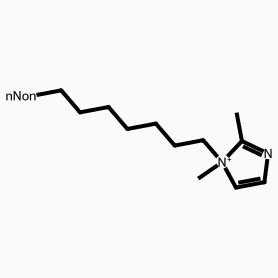 CCCCCCCCCCCCCCCC[N+]1(C)C=CN=C1C